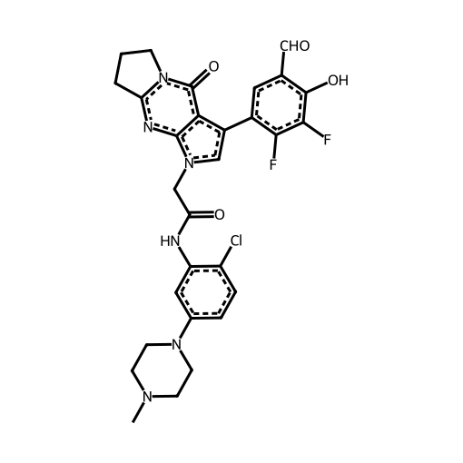 CN1CCN(c2ccc(Cl)c(NC(=O)Cn3cc(-c4cc(C=O)c(O)c(F)c4F)c4c(=O)n5c(nc43)CCC5)c2)CC1